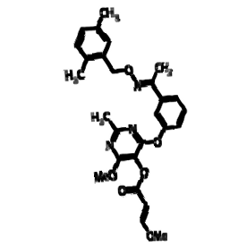 COC=CC(=O)Oc1c(OC)nc(C)nc1Oc1cccc(C(C)=NOCc2cc(C)ccc2C)c1